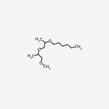 CCCCCCOC(C)COC(C)COC